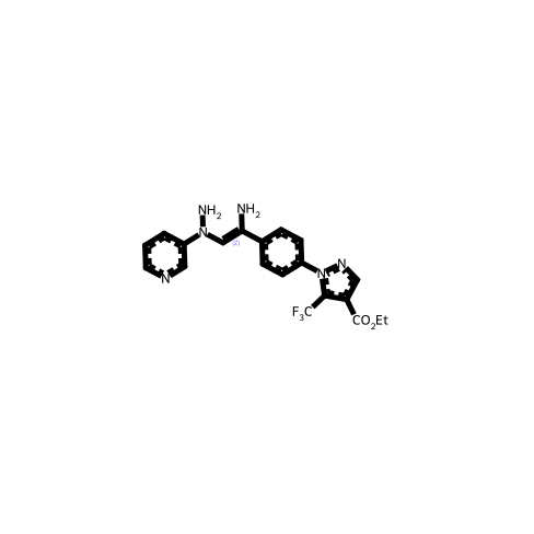 CCOC(=O)c1cnn(-c2ccc(/C(N)=C/N(N)c3cccnc3)cc2)c1C(F)(F)F